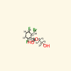 CC(C)(O)C(C)(C)OB(O)c1c(F)ccc(F)c1CBr